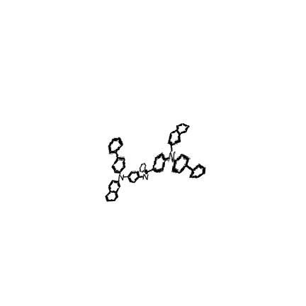 c1ccc(-c2ccc(N(c3ccc(-c4nc5ccc(N(c6ccc(-c7ccccc7)cc6)c6ccc7ccccc7c6)cc5o4)cc3)c3ccc4ccccc4c3)cc2)cc1